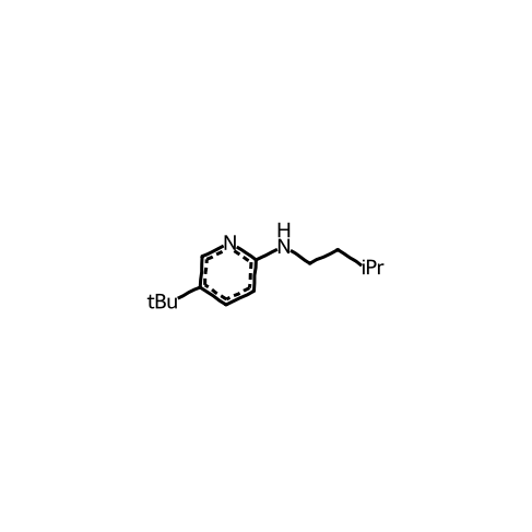 CC(C)CCNc1ccc(C(C)(C)C)cn1